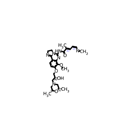 C=N/C=C\C=C(/C)C(=O)NC1=Nc2c(ccc(OC[C@H](O)CN3C[C@@H](C)O[C@@H](C)C3)c2OC)C2=NCCN12